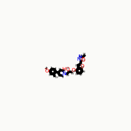 COc1ccc(C2CCN(CC(O)COc3cccc4oc(-c5nnc(C)o5)cc34)CC2)c(C)c1